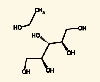 CCO.OC[C@@H](O)[C@@H](O)[C@@H](O)CO